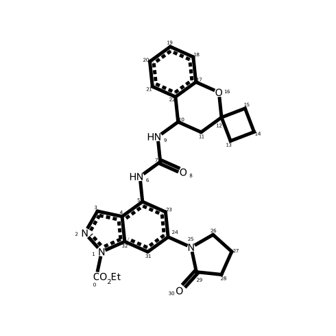 CCOC(=O)n1ncc2c(NC(=O)NC3CC4(CCC4)Oc4ccccc43)cc(N3CCCC3=O)cc21